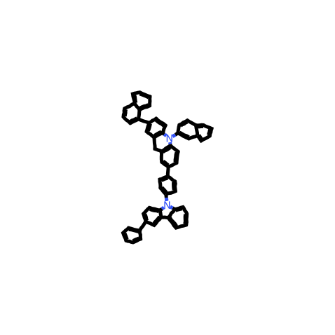 c1ccc(-c2ccc3c(c2)c2ccccc2n3-c2ccc(-c3ccc4c(c3)Cc3cc(-c5cccc6ccccc56)ccc3N4c3ccc4ccccc4c3)cc2)cc1